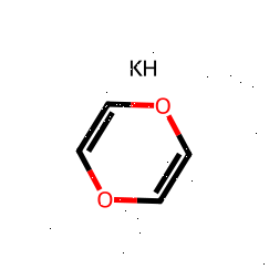 C1=COC=CO1.[KH]